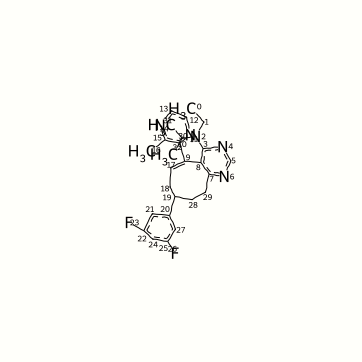 CCN(c1ncnc2c1/C(c1nccnc1C)=C\CC(c1cc(F)cc(F)c1)CC2)C(C)C